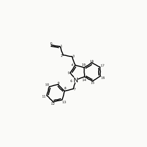 C=CCCc1cn(Cc2ccccc2)c2ccccc12